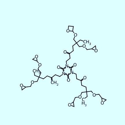 C=C(CCn1c(=O)n(CCC(=O)CCC(CC)(COCC2CO2)COCC2CO2)c(=O)n(CCC(=O)CCC(CC)(COCC2CO2)COC2CCO2)c1=O)CCC(CC)(CCOC1CO1)COCC1CO1